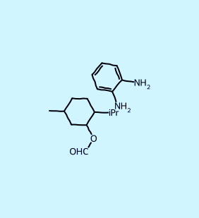 CC1CCC(C(C)C)C(OC=O)C1.Nc1ccccc1N